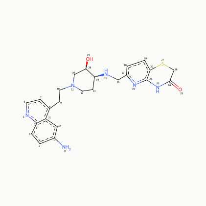 Nc1ccc2nccc(CCN3CC[C@H](NCc4ccc5c(n4)NC(=O)CS5)[C@H](O)C3)c2c1